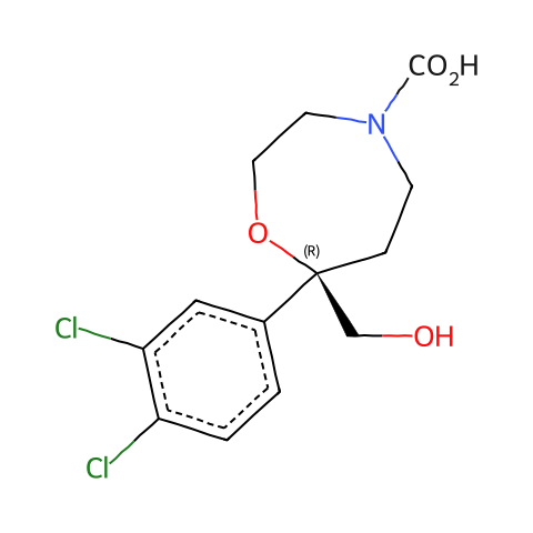 O=C(O)N1CCO[C@@](CO)(c2ccc(Cl)c(Cl)c2)CC1